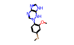 COc1cc(SC)ccc1N1C=Nc2nc[nH]c2N1